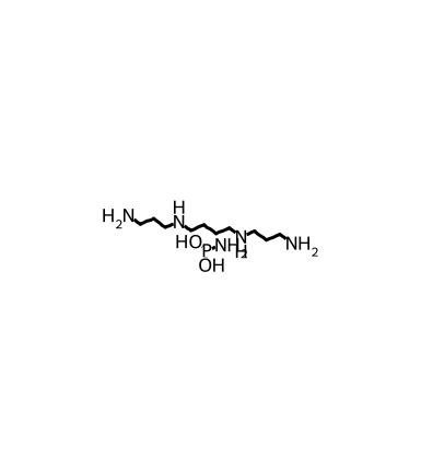 NCCCNCCCCNCCCN.NP(O)O